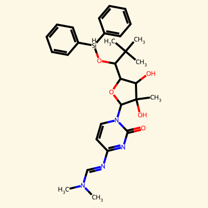 CN(C)C=Nc1ccn(C2OC(C(O[SiH](c3ccccc3)c3ccccc3)C(C)(C)C)C(O)C2(C)O)c(=O)n1